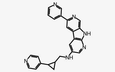 c1cncc(-c2cc3c(cn2)[nH]c2ncc(NCC4CC4c4ccncc4)cc23)c1